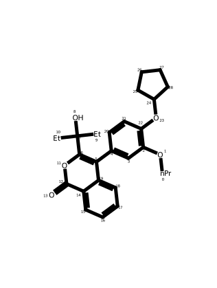 CCCOc1cc(-c2c(C(O)(CC)CC)oc(=O)c3ccccc23)ccc1OC1CCCC1